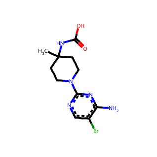 CC1(NC(=O)O)CCN(c2ncc(Br)c(N)n2)CC1